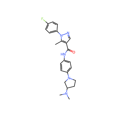 Cc1c(C(=O)Nc2ccc(N3CCC(N(C)C)C3)cc2)cnn1-c1ccc(F)cc1